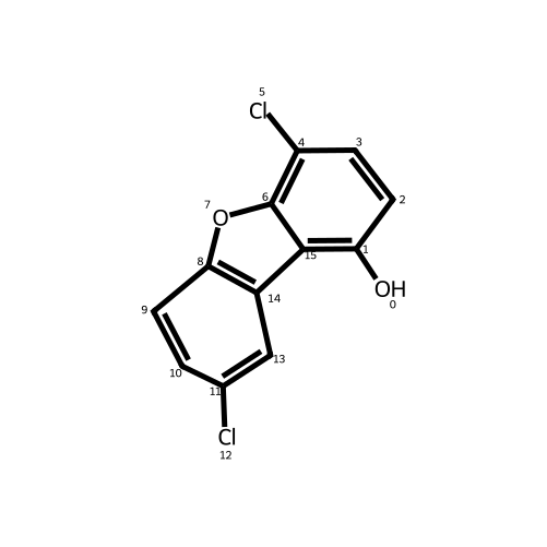 Oc1ccc(Cl)c2oc3ccc(Cl)cc3c12